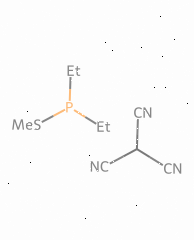 CCP(CC)SC.N#CC(C#N)C#N